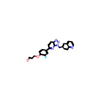 O=CCCOc1ccc(-c2ccc3nnn(Cc4ccc5ncccc5c4)c3n2)cc1F